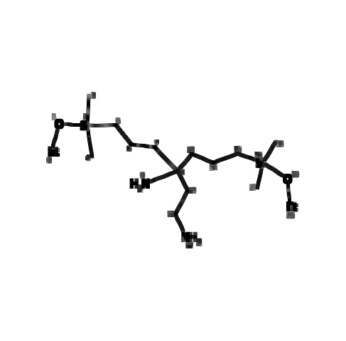 CCO[Si](C)(C)CCCC(N)(CCN)CCC[Si](C)(C)OCC